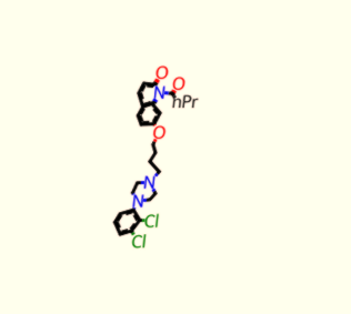 CCCC(=O)n1c(=O)ccc2ccc(OCCCCN3CCN(c4cccc(Cl)c4Cl)CC3)cc21